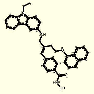 CCn1c2ccccc2c2cc(NC/C(=C/c3ccc(C(=O)NO)cc3)CCOc3cccc4ccccc34)ccc21